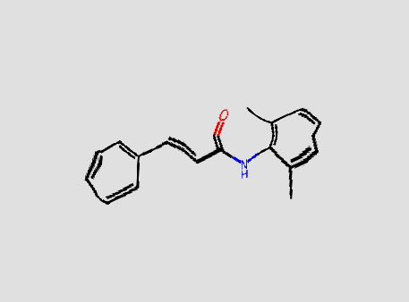 Cc1cccc(C)c1NC(=O)C=Cc1ccccc1